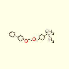 CC(C)c1ccc(COCCOc2ccc(-c3ccccc3)cc2)cc1